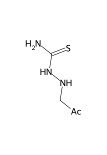 CC(=O)CNNC(N)=S